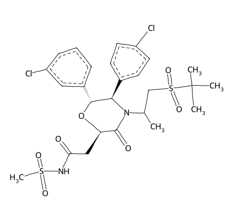 CC(CS(=O)(=O)C(C)(C)C)N1C(=O)[C@@H](CC(=O)NS(C)(=O)=O)O[C@H](c2cccc(Cl)c2)[C@H]1c1ccc(Cl)cc1